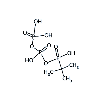 CC(C)(C)P(=O)(O)OP(=O)(O)OP(=O)(O)O